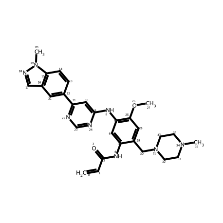 C=CC(=O)Nc1cc(Nc2cc(-c3ccc4c(cnn4C)c3)ncn2)c(OC)cc1CN1CCN(C)CC1